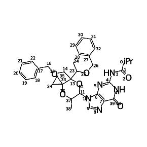 CC(C)C(=O)Nc1nc2c(ncn2C2OC(COCc3ccccc3)(C(C)OCc3ccccc3)C3(CC3)OC2C)c(=O)[nH]1